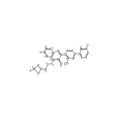 Cc1cccc(-c2ccc(-c3cc4cnc(C)nc4n(CCOC4CN(C)C4)c3=O)c(Cl)c2)n1